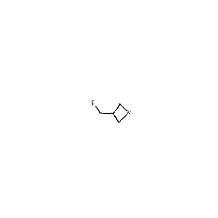 FCC1C[N]C1